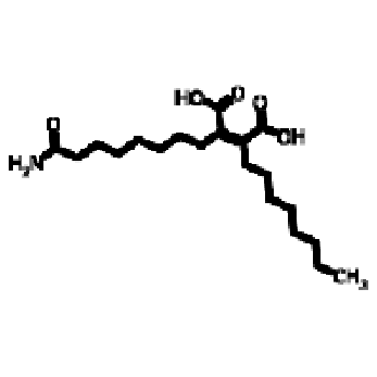 CCCCCCCC/C(C(=O)O)=C(\CCCCCCCC(N)=O)C(=O)O